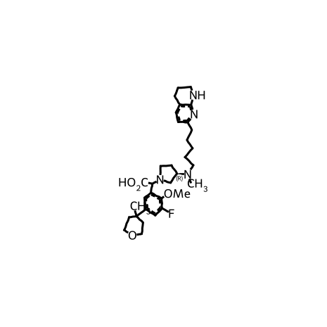 COc1c(F)cc(C2(C)CCOCC2)cc1C(C(=O)O)N1CC[C@@H](N(C)CCCCCc2ccc3c(n2)NCCC3)C1